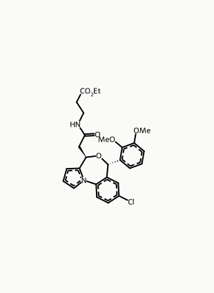 CCOC(=O)CCNC(=O)C[C@H]1O[C@H](c2cccc(OC)c2OC)c2cc(Cl)ccc2-n2cccc21